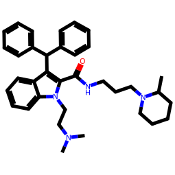 CC1CCCCN1CCCNC(=O)c1c(C(c2ccccc2)c2ccccc2)c2ccccc2n1CCN(C)C